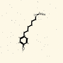 [CH2]CCCCCOCCCCCCc1ccc(Cl)cc1